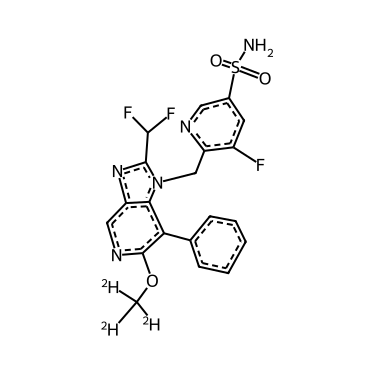 [2H]C([2H])([2H])Oc1ncc2nc(C(F)F)n(Cc3ncc(S(N)(=O)=O)cc3F)c2c1-c1ccccc1